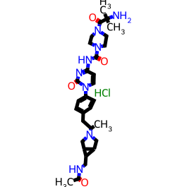 CC(=O)NCC1C2CN(C(C)Cc3ccc(-n4ccc(NC(=O)N5CCN(C(=O)C(C)(C)N)CC5)nc4=O)cc3)CC12.Cl